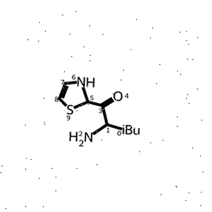 CCC(C)C(N)C(=O)C1NC=CS1